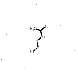 CCC(C)POOS